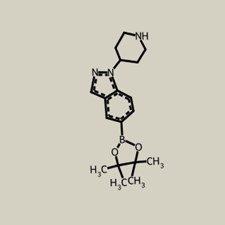 CC1(C)OB(c2ccc3c(cnn3C3CCNCC3)c2)OC1(C)C